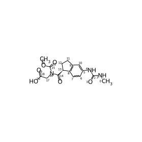 CNC(=O)Nc1ccc2c(c1)CC[C@@H]2C(=O)N(CC(=O)O)C(=O)OC